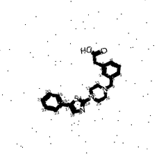 O=C(O)Cc1cccc(CN2CCN(c3ncc(-c4ccccc4)s3)CC2)c1